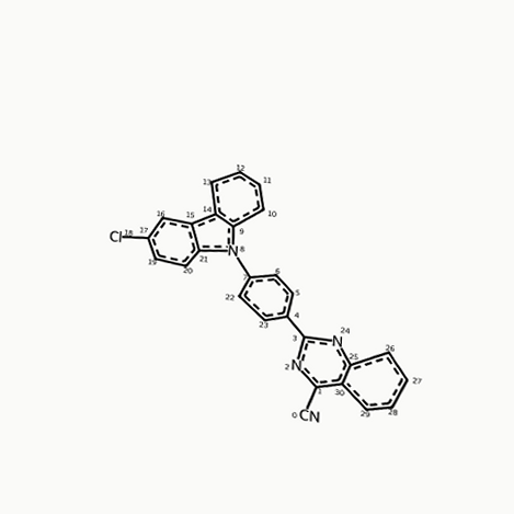 N#Cc1nc(-c2ccc(-n3c4ccccc4c4cc(Cl)ccc43)cc2)nc2ccccc12